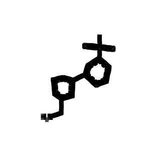 CS(=O)(=O)c1cccc(-c2cccc(CN)c2)c1